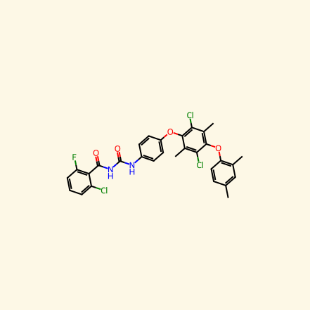 Cc1ccc(Oc2c(C)c(Cl)c(Oc3ccc(NC(=O)NC(=O)c4c(F)cccc4Cl)cc3)c(C)c2Cl)c(C)c1